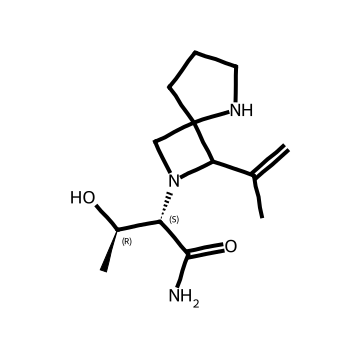 C=C(C)C1N([C@H](C(N)=O)[C@@H](C)O)CC12CCCN2